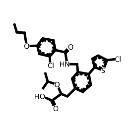 CCCOc1ccc(C(=O)NCc2cc(CC(OC(C)C)C(=O)O)ccc2-c2ccc(Cl)s2)c(Cl)c1